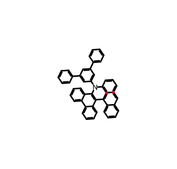 c1ccc(-c2cc(-c3ccccc3)cc(N(c3ccccc3)c3c(-c4cccc5ccccc45)c4ccccc4c4ccccc34)c2)cc1